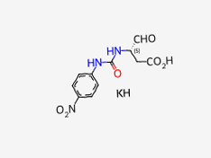 O=C[C@H](CC(=O)O)NC(=O)Nc1ccc([N+](=O)[O-])cc1.[KH]